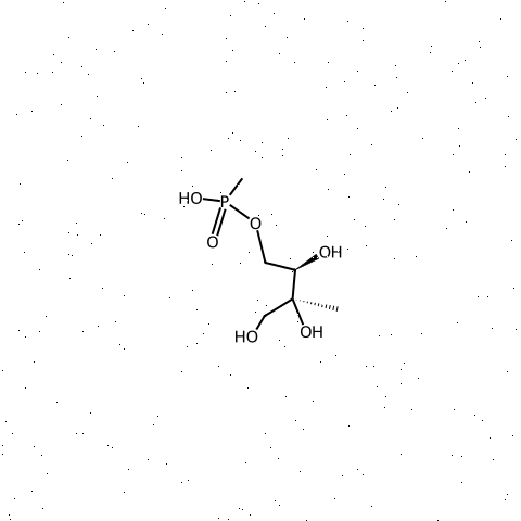 C[C@](O)(CO)[C@H](O)COP(C)(=O)O